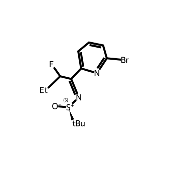 CCC(F)C(=N[S@+]([O-])C(C)(C)C)c1cccc(Br)n1